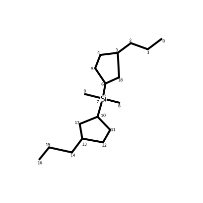 CCCC1CCC([Si](C)(C)C2CCC(CCC)C2)C1